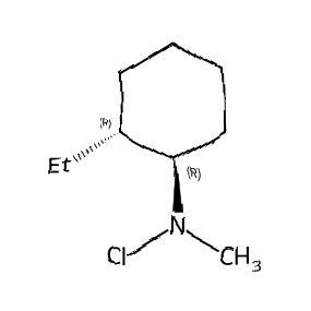 CC[C@@H]1CCCC[C@H]1N(C)Cl